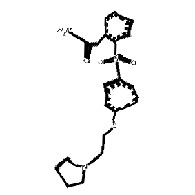 NC(=O)c1ccccc1S(=O)(=O)c1ccc(OCCN2CCCC2)cc1